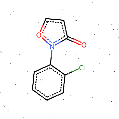 O=c1ccon1-c1ccccc1Cl